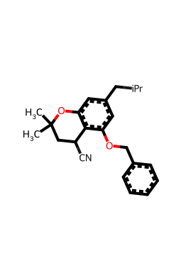 CC(C)Cc1cc(OCc2ccccc2)c2c(c1)OC(C)(C)CC2C#N